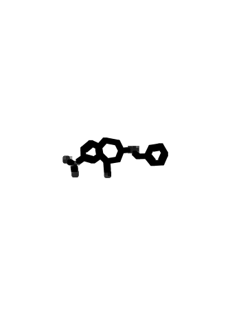 O=C1CC(NCc2ccccc2)CCc2ccc([N+](=O)[O-])cc21